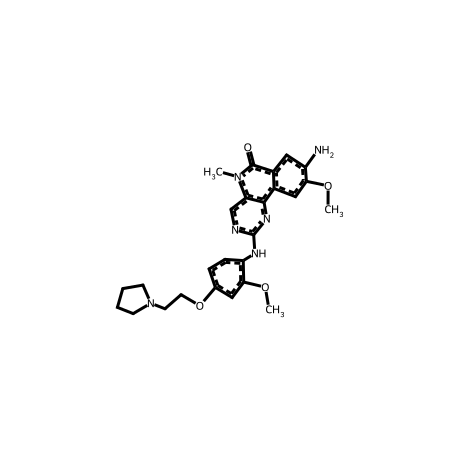 COc1cc2c(cc1N)c(=O)n(C)c1cnc(Nc3ccc(OCCN4CCCC4)cc3OC)nc21